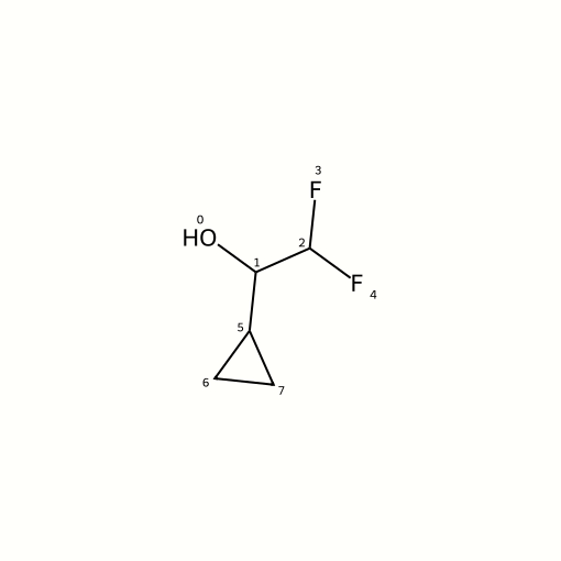 OC(C(F)F)C1CC1